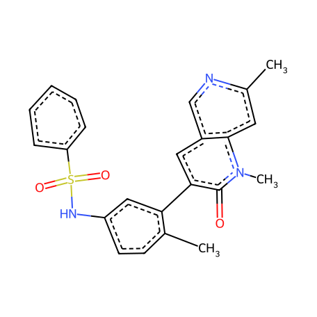 Cc1cc2c(cn1)cc(-c1cc(NS(=O)(=O)c3ccccc3)ccc1C)c(=O)n2C